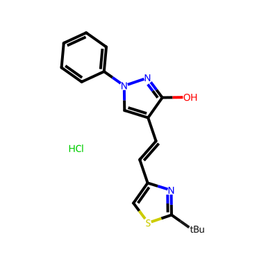 CC(C)(C)c1nc(C=Cc2cn(-c3ccccc3)nc2O)cs1.Cl